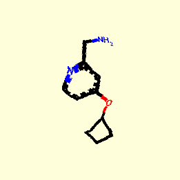 NCc1cc(OC2CCC2)ccn1